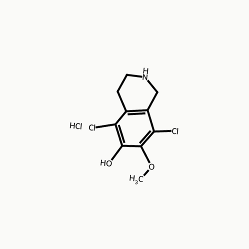 COc1c(O)c(Cl)c2c(c1Cl)CNCC2.Cl